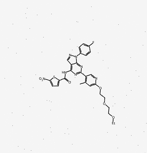 CCOCCOCCOc1cc(C)c(-c2nc(NC(=O)c3ccc([N+](=O)[O-])s3)c3cnn(-c4ccc(F)cc4)c3n2)cn1